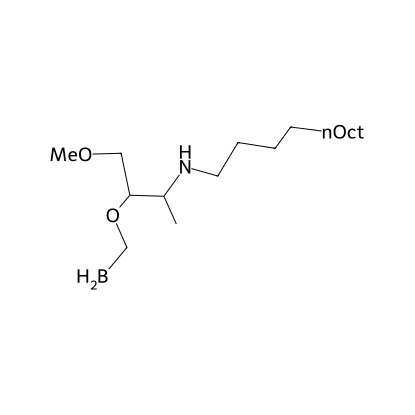 BCOC(COC)C(C)NCCCCCCCCCCCC